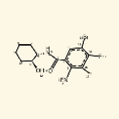 Nc1c(C(=O)N[C@H]2CCCC[C@@H]2O)cc(Br)c(F)c1F